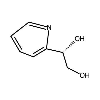 OC[C@@H](O)c1ccccn1